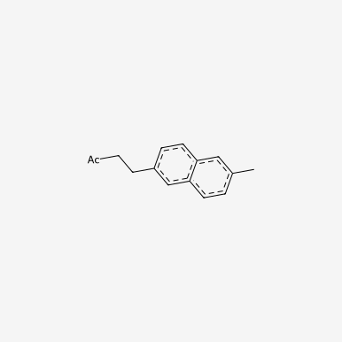 CC(=O)CCc1ccc2cc(C)ccc2c1